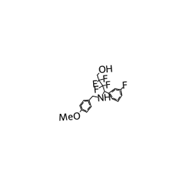 COc1ccc(CNC(c2cccc(F)c2)C(F)(F)C(F)(F)CO)cc1